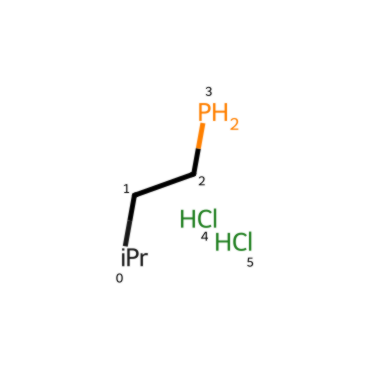 CC(C)CCP.Cl.Cl